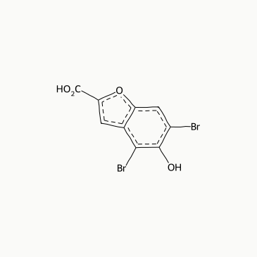 O=C(O)c1cc2c(Br)c(O)c(Br)cc2o1